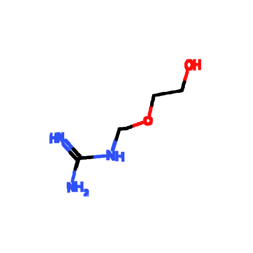 N=C(N)NCOCCO